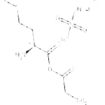 CSCC[C@H](N)C(=O)OC(=O)CN.O=S(=O)(O)O.[Zn].[Zn]